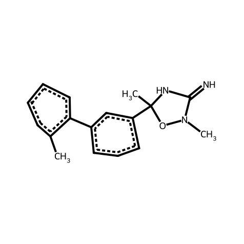 Cc1ccccc1-c1cccc(C2(C)NC(=N)N(C)O2)c1